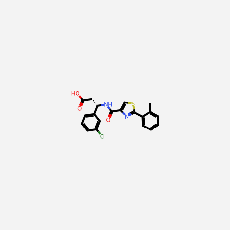 Cc1ccccc1-c1nc(C(=O)N[C@@H](CC(=O)O)c2cccc(Cl)c2)cs1